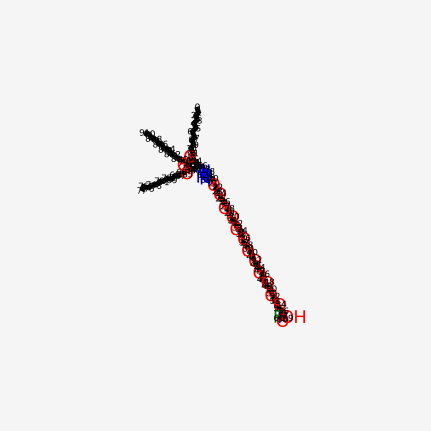 CCCCCCCCCCCCOc1cc(Cn2cc(COCCOCCOCCOCCOCCOCCOCCOCCOCCOCCOCCOCCP(=O)(O)F)nn2)cc(OCCCCCCCCCCCC)c1OCCCCCCCCCCCC